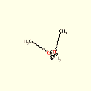 CCCCCCCCCCCCOC(C)c1c[se]cc1C(C)OCCCCCCCCCCCC